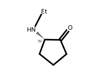 CCN[C@H]1CCCC1=O